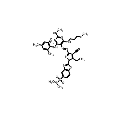 CCc1c(C#N)c(N=Nc2c(NCCCOC)nc(NC)nc2Nc2c(C)cc(C)cc2C)nn1-c1nc2cc(S(=O)(=O)N(C)C)ccc2s1